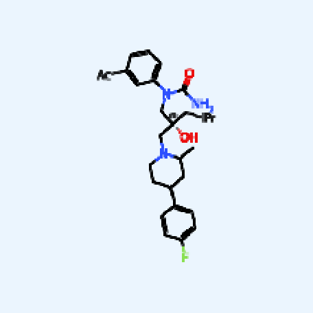 CC(=O)c1cccc(N(C[C@@](O)(CC(C)C)CN2CCC(c3ccc(F)cc3)CC2C)C(N)=O)c1